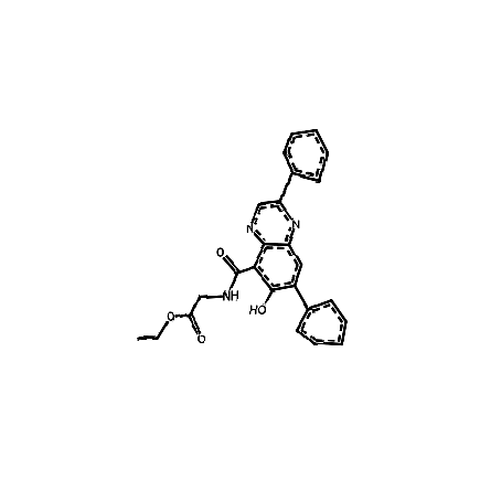 CCOC(=O)CNC(=O)c1c(O)c(-c2ccccc2)cc2nc(-c3ccccc3)cnc12